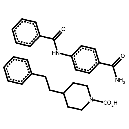 NC(=O)c1ccc(NC(=O)c2ccccc2)cc1.O=C(O)N1CCC(CCc2ccccc2)CC1